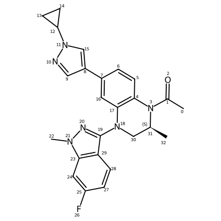 CC(=O)N1c2ccc(-c3cnn(C4CC4)c3)cc2N(c2nn(C)c3cc(F)ccc23)C[C@@H]1C